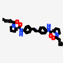 CCCC(C)C(=O)N1CCC[C@H]1C(=O)Nc1ccc(/C=C/c2ccc(NC(=O)[C@@H]3CCCN3C(=O)CC(C)CC)cc2)cc1